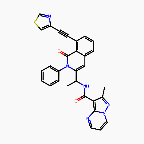 Cc1nn2cccnc2c1C(=O)NC(C)c1cc2cccc(C#Cc3cscn3)c2c(=O)n1-c1ccccc1